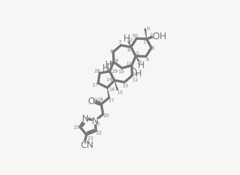 C[C@@]1(O)CC[C@H]2[C@H](CC[C@@H]3C[C@@H]2CC[C@]2(C)[C@@H](CC(=O)Cn4cc(C#N)cn4)CC[C@@H]32)C1